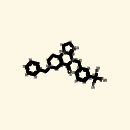 O=C1C2=C(CCN(Cc3ccccc3)C2)N2CCN=C2N1Cc1cccc(C(F)(F)F)c1